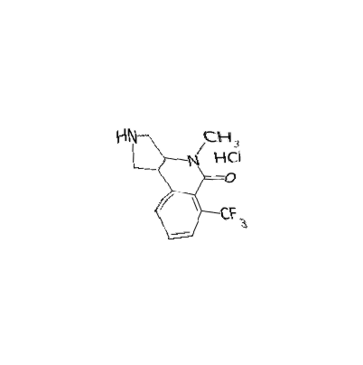 CN1C(=O)c2c(cccc2C(F)(F)F)C2CNCC21.Cl